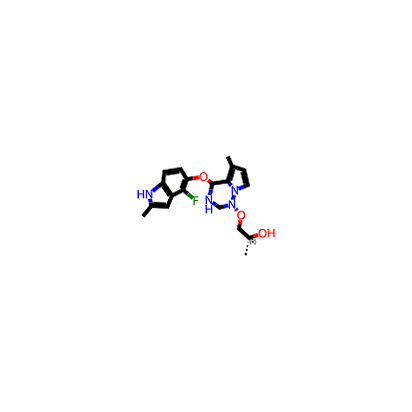 Cc1cc2c(F)c(OC3NCN(OC[C@@H](C)O)n4ccc(C)c43)ccc2[nH]1